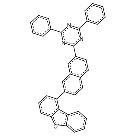 c1ccc(-c2nc(-c3ccccc3)nc(-c3ccc4ccc(-c5cccc6oc7ccccc7c56)cc4c3)n2)cc1